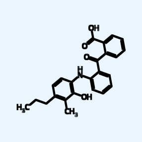 CCCc1ccc(Nc2ccccc2C(=O)c2ccccc2C(=O)O)c(O)c1C